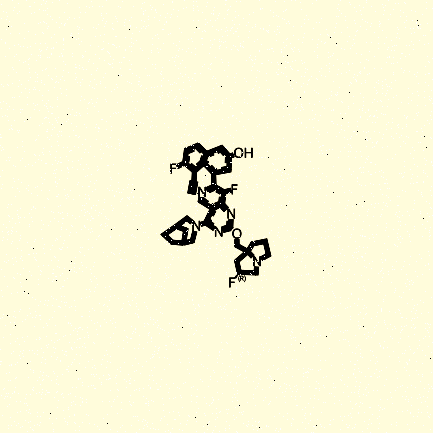 C#Cc1c(F)ccc2cc(O)cc(-c3ncc4c(N5CC6CCC(C6)C5)nc(OCC56CCCN5C[C@H](F)C6)nc4c3F)c12